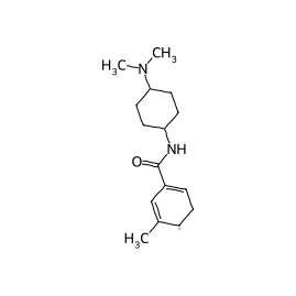 CC1=CC(C(=O)NC2CCC(N(C)C)CC2)=CC[CH]1